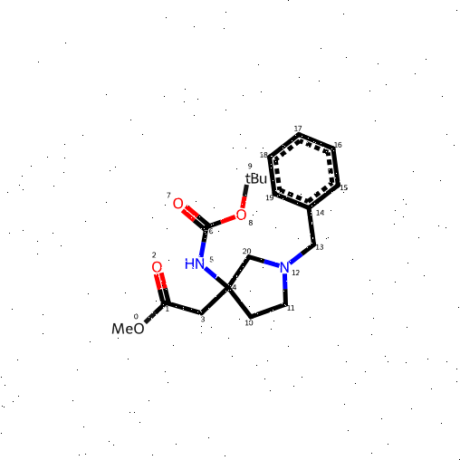 COC(=O)CC1(NC(=O)OC(C)(C)C)CCN(Cc2ccccc2)C1